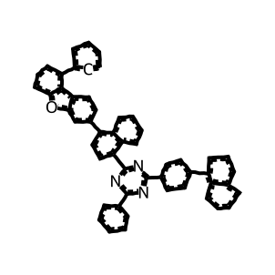 c1ccc(-c2nc(-c3ccc(-c4cccc5ccccc45)cc3)nc(-c3ccc(-c4ccc5c(c4)oc4cccc(-c6ccccc6)c45)c4ccccc34)n2)cc1